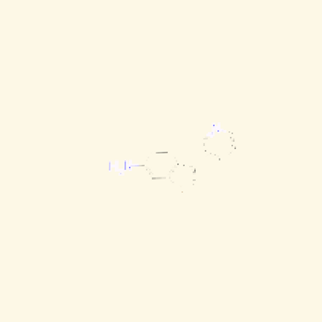 Nc1ccc2c(-c3cccnc3)csc2c1